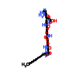 CCCCCCCCCCCCCCCCCC(=O)N[C@@H](CCC(=O)NCCOCCOCC(=O)NCCOCCOCC(=O)NCCCC[C@H](CC(=O)[C@@H](N)Cc1cnc[nH]1)C(=O)NCC(=O)O)C(N)=O